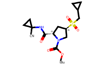 CC(C)(C)OC(=O)N1C[C@H](S(=O)(=O)CC2CC2)C[C@H]1C(=O)NC1(C#N)CC1